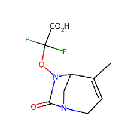 CC1=CCN2CC1N(OC(F)(F)C(=O)O)C2=O